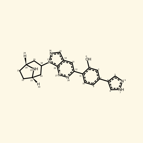 Oc1cc(-c2cn[nH]c2)ccc1-c1cc2cnn(C3C[C@H]4CC[C@@H](C3)N4)c2nn1